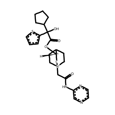 O=C(C[N+]12CCC(CC1)[C@@H](OC(=O)C(O)(c1cccs1)C1CCCC1)C2)Nc1cnccn1